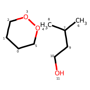 C1CCOOC1.CC(C)CCO